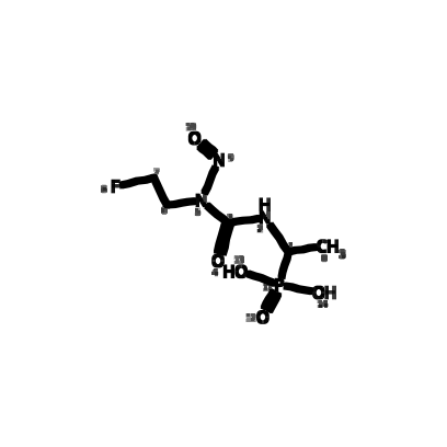 CC(NC(=O)N(CCF)N=O)P(=O)(O)O